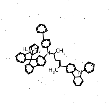 C/C(=C\CC(C)N(c1ccc(-c2ccccc2)cc1)c1ccc2c(c1)C1(c3ccccc3-2)c2ccccc2[C@H]2C=CC=CC21C)c1ccc2c(c1)C1C=CC=CC1N2c1ccccc1